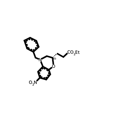 CCOC(=O)CC[C@H]1CN(Cc2ccccc2)c2cc([N+](=O)[O-])ccc2O1